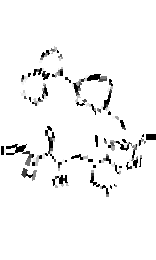 CC(C)CN(CC(O)C(=O)NO)C(=O)N[C@@H](Cc1ccc(-c2cccc3ccccc23)cc1)C(=O)O